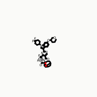 O=C(NC1(C(=O)O)C2CCC3CC(C2)CC1C3)c1cnc(-c2cn(C3CCC(F)(F)CC3)c3cc(OC4CCCOC4)ccc23)nc1C(F)(F)F